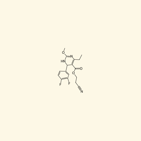 CCC1=C(C(=O)OCCC#N)C(c2ccc(F)c(F)c2)NC(OC)=N1